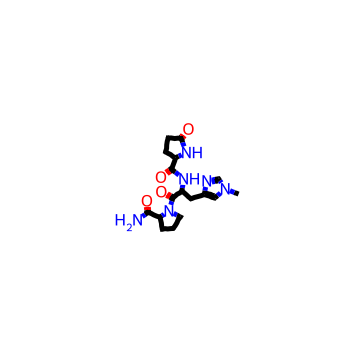 Cn1cnc(CC(NC(=O)C2CCC(=O)N2)C(=O)N2CCCC2C(N)=O)c1